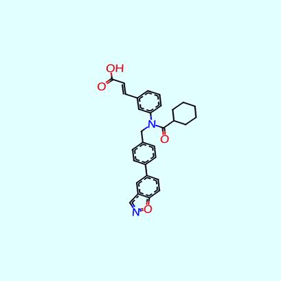 O=C(O)C=Cc1cccc(N(Cc2ccc(-c3ccc4oncc4c3)cc2)C(=O)C2CCCCC2)c1